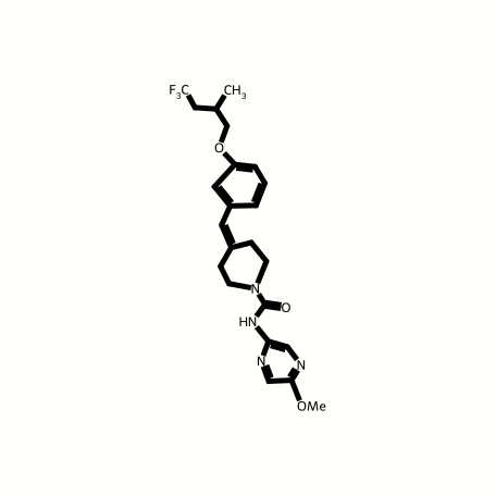 COc1cnc(NC(=O)N2CCC(=Cc3cccc(OCC(C)CC(F)(F)F)c3)CC2)cn1